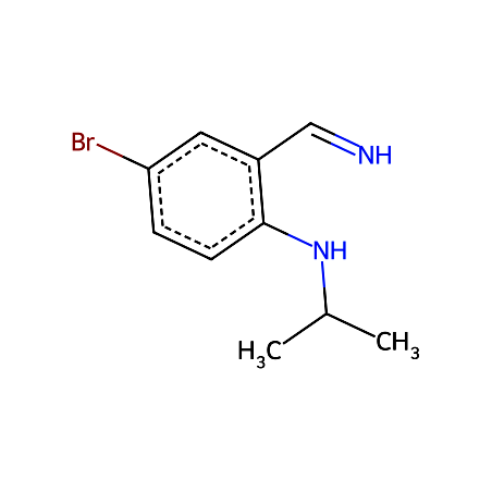 CC(C)Nc1ccc(Br)cc1C=N